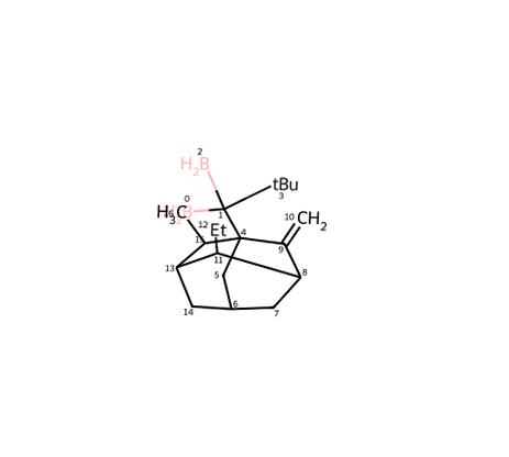 BC(B)(C(C)(C)C)C12CC3CC(C1=C)C(CC)C(C3)C2C